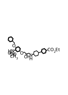 CCOC(=O)c1ccc(C2CCC(NC[C@H](O)COc3ccc(OCc4ccccc4)c(NS(C)(=O)=O)c3)CC2)cc1